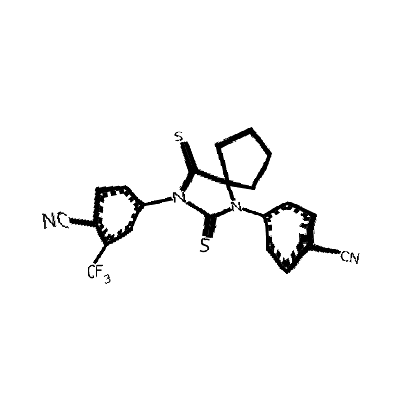 N#Cc1ccc(N2C(=S)N(c3ccc(C#N)c(C(F)(F)F)c3)C(=S)C23CCCC3)cc1